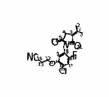 CC(C)=C1CC(=O)N(c2cc(OCCC#N)c(Cl)cc2F)C1=O